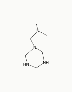 CN(C)CN1CNCNC1